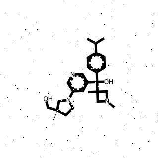 CC(C)c1ccc(C(O)(c2cncc(N3CC[C@@](C)(CO)C3)c2)C2(C)CN(C)C2)cc1